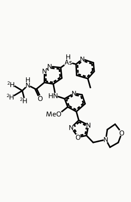 [2H]C([2H])([2H])NC(=O)c1nnc([AsH]c2cc(C)ccn2)cc1Nc1nccc(-c2noc(CN3CCOCC3)n2)c1OC